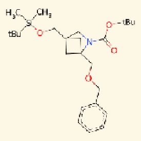 CC(C)(C)OC(=O)N1CC2(CO[Si](C)(C)C(C)(C)C)CC1(COCc1ccccc1)C2